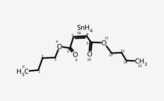 CCCCOC(=O)/C=C\C(=O)OCCCC.[SnH4]